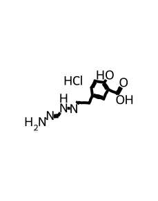 Cl.NN=CNN=CCc1ccc(O)c(C(=O)O)c1